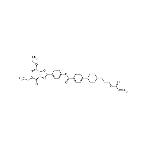 C=CC(=O)OCCCC1CCC(c2ccc(C(=O)Oc3ccc(C4O[C@@H](C(=O)OCC)[C@H](C(=O)OCC)O4)cc3)cc2)CC1